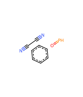 N#CC#N.O=P.c1ccccc1